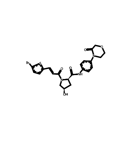 O=C(Nc1ccc(N2CCOCC2=O)cc1)[C@H]1C[C@@H](O)CN1C(=O)C=Cc1ccc(Br)s1